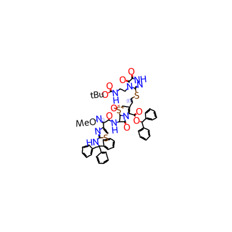 CO/N=C(/C(=O)NC1C(=O)N2C(C(=O)OC(c3ccccc3)c3ccccc3)=C(/C=C/Sc3n[nH]c(=O)c(=O)n3CCNC(=O)OC(C)(C)C)C[S+]([O-])C12)c1csc(NC(c2ccccc2)(c2ccccc2)c2ccccc2)n1